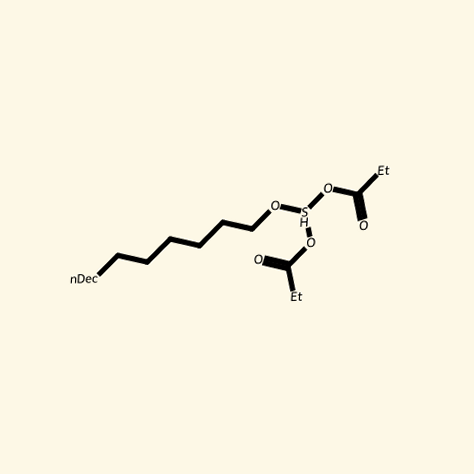 CCCCCCCCCCCCCCCCO[SH](OC(=O)CC)OC(=O)CC